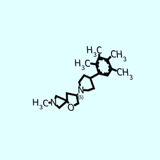 Cc1cc(C2CCN([C@@H]3COC4(C3)CN(C)C4)CC2)c(C)c(C)c1C